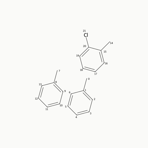 Cc1ccccc1.Cc1ccccc1.Cc1ccccc1Cl